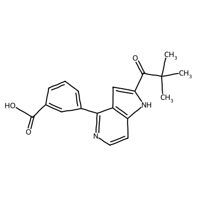 CC(C)(C)C(=O)c1cc2c(-c3cccc(C(=O)O)c3)nccc2[nH]1